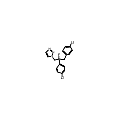 CCc1ccc(CC(F)(Cn2ccnn2)c2ccc(Cl)cc2)cc1